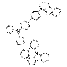 c1ccc(N(c2ccc(-c3ccc(-c4cccc5c4oc4ccccc45)cc3)cc2)c2ccc(-c3ccccc3-c3ccccc3-n3c4ccccc4c4ccccc43)cc2)cc1